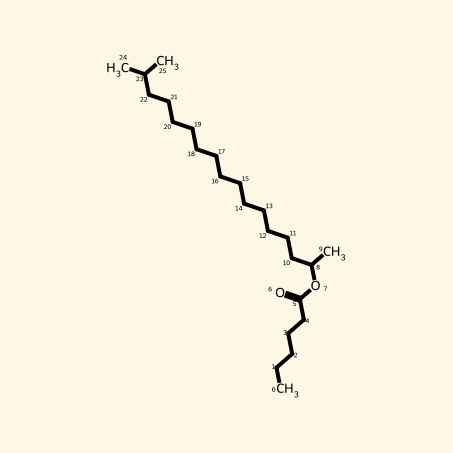 CCCCCC(=O)OC(C)CCCCCCCCCCCCCC(C)C